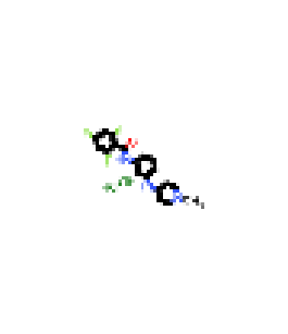 CN1CCC(Nc2cccc(NC(=O)c3c(F)cc(F)cc3F)c2)CC1.Cl.Cl